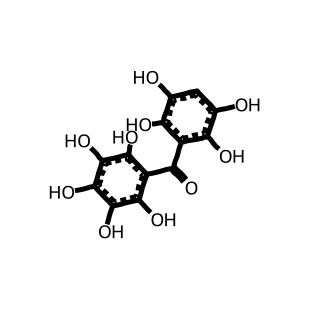 O=C(c1c(O)c(O)cc(O)c1O)c1c(O)c(O)c(O)c(O)c1O